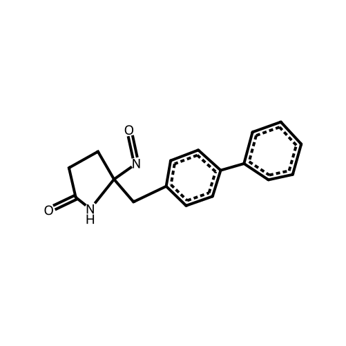 O=NC1(Cc2ccc(-c3ccccc3)cc2)CCC(=O)N1